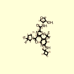 C[C@H]1CC(F)(F)CN1C(=O)c1nc(C(=O)N[C@@H]2COC[C@H]2O)sc1-c1cnc(NC2(C)CCC2)cc1C(F)(F)F